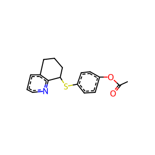 CC(=O)Oc1ccc(SC2CCCc3cccnc32)cc1